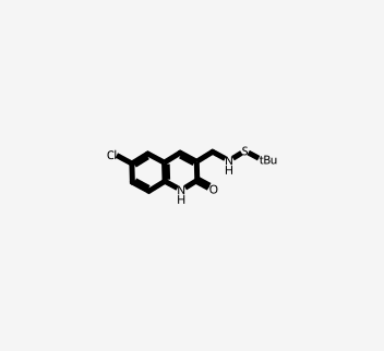 CC(C)(C)SNCc1cc2cc(Cl)ccc2[nH]c1=O